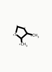 CC1CCSC1C